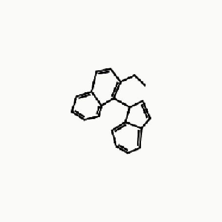 CCc1ccc2ccccc2c1[C]1C=Cc2ccccc21